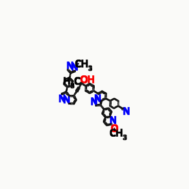 COc1ccc2cc(-c3cnn4c(-c5ccc(C(C)(O)C#Cc6cccn7ncc(-c8ccc(-c9cnn(C)c9)cc8)c67)cc5)ccc(C5=CCC(C#N)CC5)c34)ccc2n1